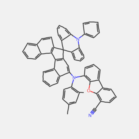 Cc1ccc(N(c2cc3c(c4ccccc24)-c2c(ccc4ccccc24)C32c3ccccc3N(c3ccccc3)c3ccccc32)c2cccc3c2oc2c(C#N)cccc23)c(C)c1